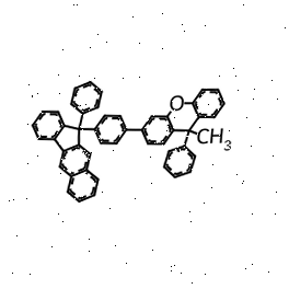 CC1(c2ccccc2)c2ccccc2Oc2cc(-c3ccc(C4(c5ccccc5)c5ccccc5-c5cc6ccccc6cc54)cc3)ccc21